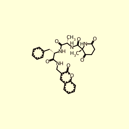 C[C@H](NC(=O)[C@]1(C)NC(=O)CCC1=O)C(=O)N[C@@H](Cc1ccccc1)C(=O)NCc1cc2ccccc2oc1=O